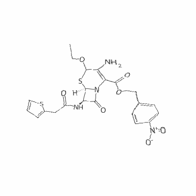 CCOC1S[C@@H]2[C@H](NC(=O)Cc3cccs3)C(=O)N2C(C(=O)OCc2ccc([N+](=O)[O-])cc2)=C1N